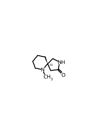 CN1CCCC[C@]12CNC(=O)C2